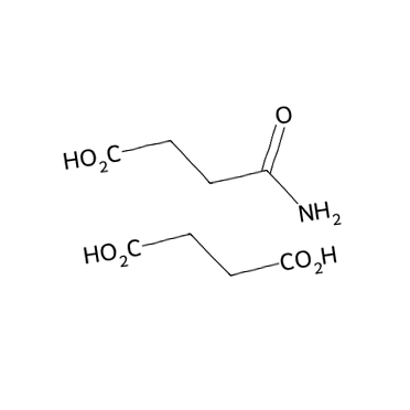 NC(=O)CCC(=O)O.O=C(O)CCC(=O)O